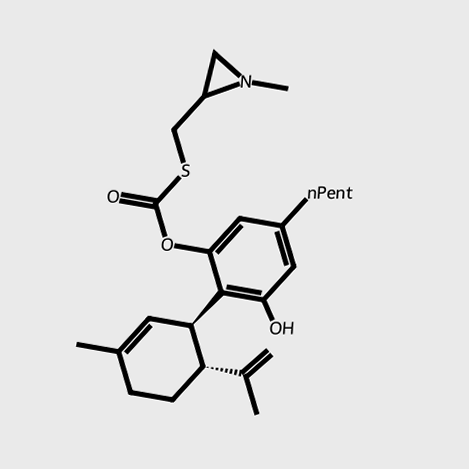 C=C(C)[C@@H]1CCC(C)=C[C@H]1c1c(O)cc(CCCCC)cc1OC(=O)SCC1CN1C